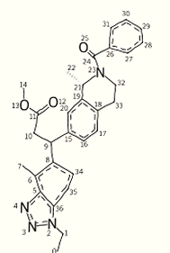 CCn1nnc2c(C)c(C(CC(=O)OC)c3ccc4c(c3)[C@H](C)N(C(=O)c3ccccc3)CC4)ccc21